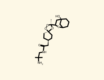 CC(C)(N)CNC(=O)C[C@H]1CC[C@]2(CC1)OO[C@@](C)(C1CC3CCC[C@](O)(C3)C1)O2